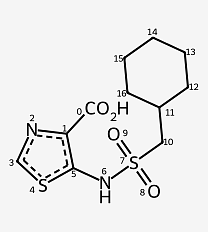 O=C(O)c1ncsc1NS(=O)(=O)CC1CCCCC1